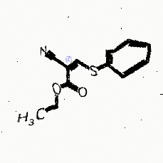 CCOC(=O)/C(C#N)=C\Sc1ccccc1